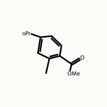 CCCc1ccc(C(=O)OC)c(C)c1